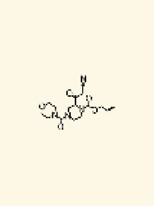 C=CCOC(=O)N1CCN(C(=O)N2CCOCC2)CC1C(=O)CC#N